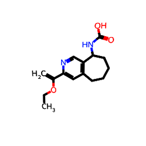 C=C(OCC)c1cc2c(cn1)C(NC(=O)O)CCCC2